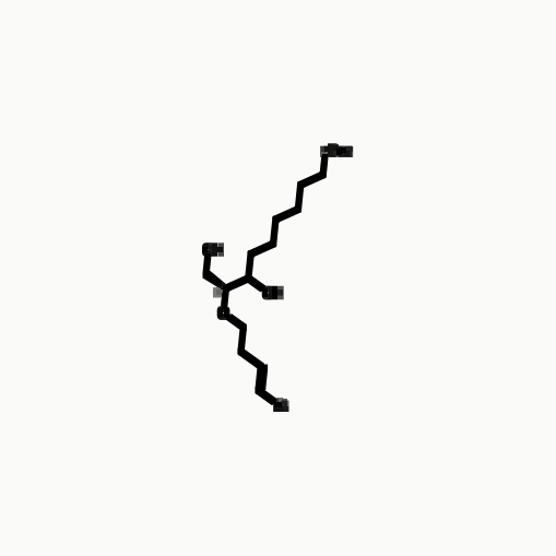 CCC=CCCO[C@@H](CO)C(O)CCCCCCCCCCCCCCCC